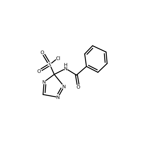 O=C(NC1(S(=O)(=O)Cl)N=CN=N1)c1ccccc1